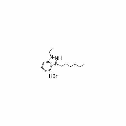 Br.CCCCCCN1NN(CC)c2ccccc21